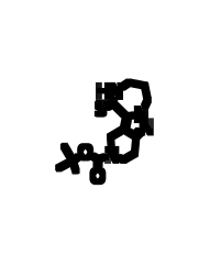 CC(C)(C)OC(=O)N1CCc2nn3c(c2C1)C(=S)NCCC3